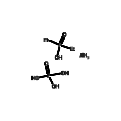 CCP(=O)(O)CC.O=P(O)(O)O.[AlH3]